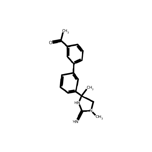 CC(=O)c1cccc(-c2cccc(C3(C)CN(C)C(=N)N3)c2)c1